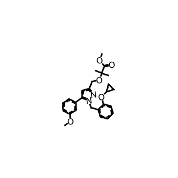 COC(=O)C(C)(C)OCc1cc(-c2cccc(OC)c2)n(Cc2ccccc2OC2CC2)n1